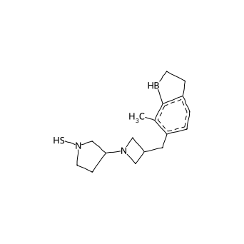 Cc1c(CC2CN(C3CCN(S)C3)C2)ccc2c1BCC2